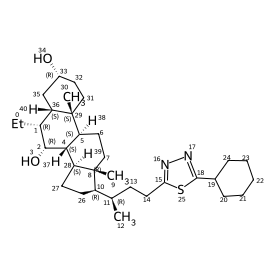 CC[C@H]1[C@@H](O)[C@@H]2[C@H](CC[C@]3(C)[C@@H]([C@H](C)CCc4nnc(C5CCCCC5)s4)CC[C@@H]23)[C@@]2(C)CC[C@@H](O)C[C@@H]12